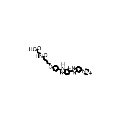 CN1CCN(c2ccc3[nH]c(-c4ccc5nc(-c6ccc(OCCCCC(=O)NCCC(=O)O)cc6)[nH]c5c4)nc3c2)CC1